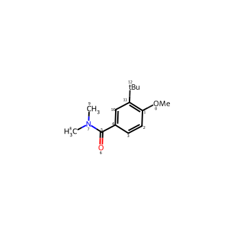 COc1ccc(C(=O)N(C)C)cc1C(C)(C)C